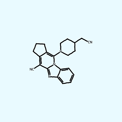 N#CCC1CCN(c2c3c(c(C#N)c4nc5ccccc5n24)CCC3)CC1